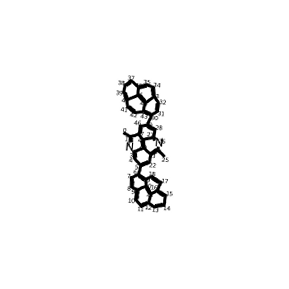 Cc1nc2cc(-c3ccc4ccc5cccc6ccc3c4c56)cc3c(C)nc4cc(-c5ccc6ccc7cccc8ccc5c6c78)cc1c4c23